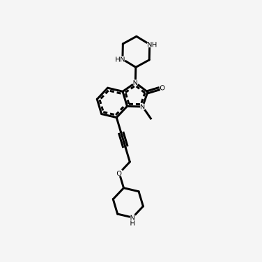 Cn1c(=O)n(C2CNCCN2)c2cccc(C#CCOC3CCNCC3)c21